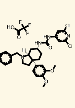 COc1ccc([C@@]23CC[C@@H](NC(=O)Nc4cc(Cl)nc(Cl)c4)C[C@@H]2N(Cc2ccccc2)CC3)cc1OC.O=C(O)C(F)(F)F